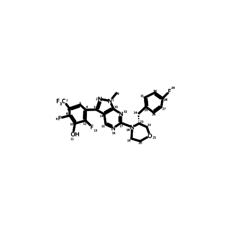 Cn1nc(-c2cc(C(F)(F)F)c(F)c(O)c2F)c2cnc(N3CCOC[C@H]3Cc3ccc(F)cc3)nc21